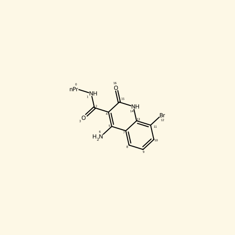 CCCNC(=O)c1c(N)c2cccc(Br)c2[nH]c1=O